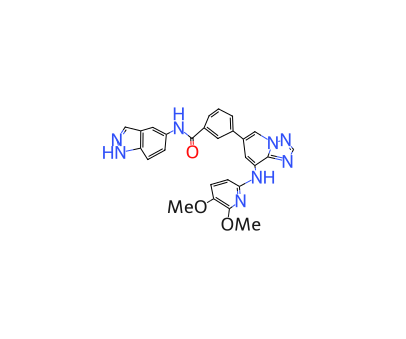 COc1ccc(Nc2cc(-c3cccc(C(=O)Nc4ccc5[nH]ncc5c4)c3)cn3ncnc23)nc1OC